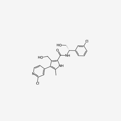 Cc1[nH]c(C(=O)N[C@H](CO)c2cccc(Cl)c2)c(CO)c1-c1ccnc(Cl)c1